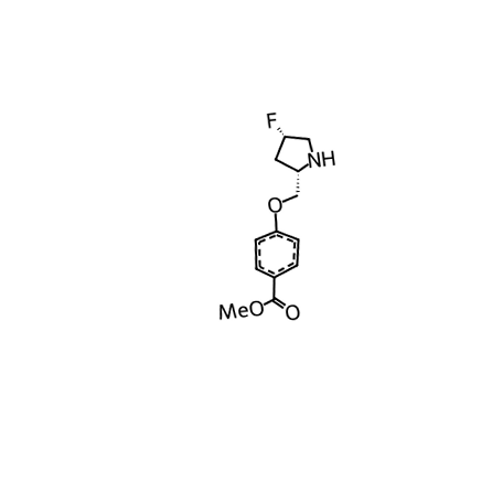 COC(=O)c1ccc(OC[C@@H]2C[C@H](F)CN2)cc1